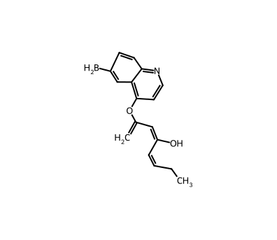 Bc1ccc2nccc(OC(=C)/C=C(O)\C=C/CC)c2c1